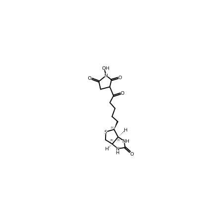 O=C1N[C@H]2[C@H](CS[C@H]2CCCCC(=O)C2CC(=O)N(O)C2=O)N1